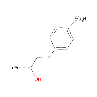 CCCC(O)CCc1ccc(S(=O)(=O)O)cc1